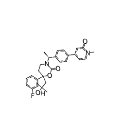 C[C@@H](c1ccc(-c2ccn(C)c(=O)c2)cc1)N1CCC(CC(C)(C)O)(c2cccc(F)c2)OC1=O